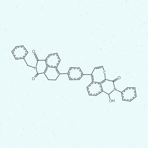 O=C1C2=c3c(cccc3=C(c3ccc(C4=c5cccc6c5=C(CC=C4)C(=O)N(c4ccccc4)C6O)cc3)CC2)C(=O)N1Cc1ccccc1